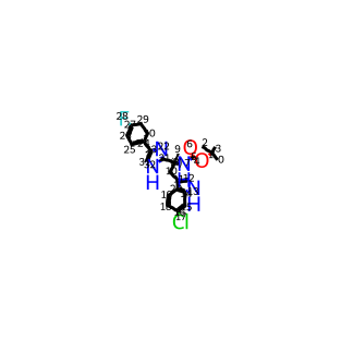 CC(C)(C)OC(=O)N[C@](C)(Cc1c[nH]c2cc(Cl)ccc12)c1nc(C2=CC=C(F)CC2)c[nH]1